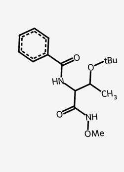 CONC(=O)C(NC(=O)c1ccccc1)C(C)OC(C)(C)C